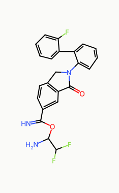 N=C(OC(N)C(F)F)c1ccc2c(c1)C(=O)N(c1ccccc1-c1ccccc1F)C2